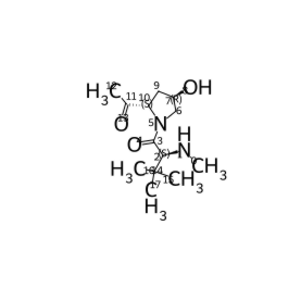 CN[C@H](C(=O)N1C[C@H](O)C[C@H]1C(C)=O)C(C)(C)C